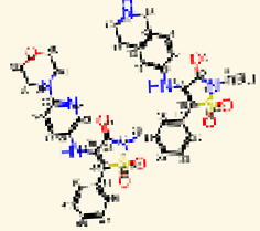 CCCCN1C(=O)C(Nc2ccc3c(c2)CCNC3)=C(c2ccccc2)S1(=O)=O.CN1C(=O)C(Nc2ccc(N3CCOCC3)nc2)=C(c2ccccc2)S1(=O)=O